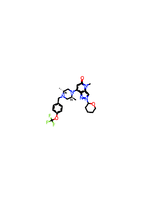 C[C@@H]1CN(c2cc(=O)n(C)c3cn(C4CCCCO4)nc23)[C@@H](C)CN1Cc1ccc(OC(F)(F)F)cc1